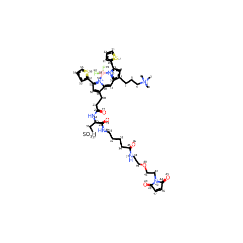 C[N+](C)(C)CCCc1cc(-c2cccs2)n2c1C=C1C(CCC(=O)NC(CS(=O)(=O)O)C(=O)NCCCCC(=O)NCCOCCN3C(=O)C=CC3=O)=CC(c3cccs3)=[N+]1[B-]2(F)F